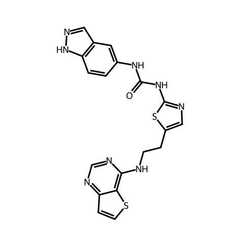 O=C(Nc1ccc2[nH]ncc2c1)Nc1ncc(CCNc2ncnc3ccsc23)s1